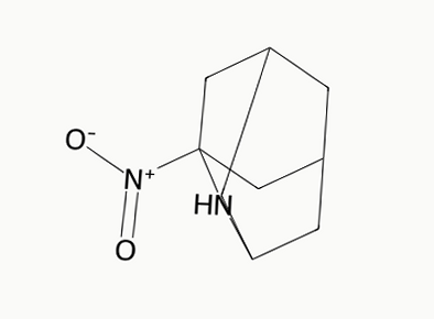 O=[N+]([O-])C12CC3CC(CC(C3)N1)C2